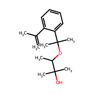 C=C(C)c1ccccc1C(C)(C)OC(C)C(C)(C)O